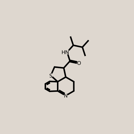 CC(C)C(C)NC(=O)C1CSC23C=CC=CC2=NCCC13